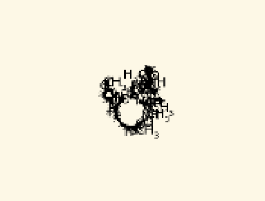 CC[C@@H]1[C@@H]2CN(C(=O)[C@H](C(C)(C)C)NC(=O)O[C@@]3(C)C[C@@H]3CCCCC(F)(F)c3nc4ccc(OC)cc4nc3O2)[C@@H]1C(=O)N[C@]1(C(=O)NS(=O)(=O)C2(C)CC2)C[C@H]1C(F)F